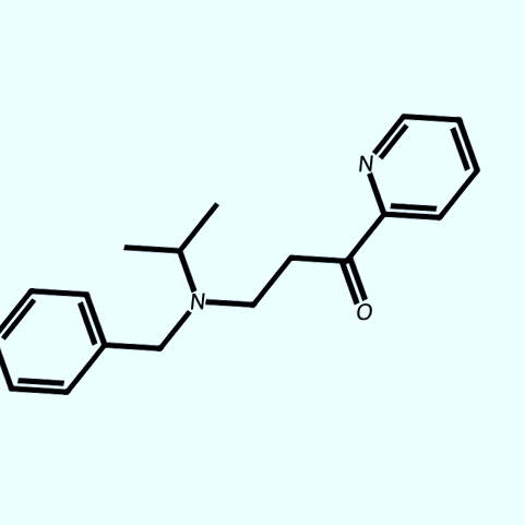 CC(C)N(CCC(=O)c1ccccn1)Cc1ccccc1